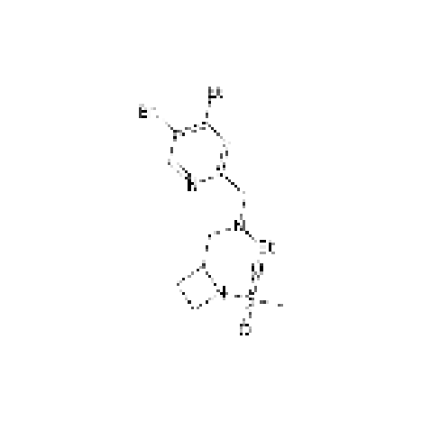 CCc1cc(CN(CC)CC2CCN2S(C)(=O)=O)ncc1Br